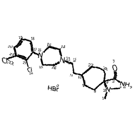 Br.CN(C)C1(C(N)=O)CCC(CCN2CCN(c3cccc(Cl)c3Cl)CC2)CC1